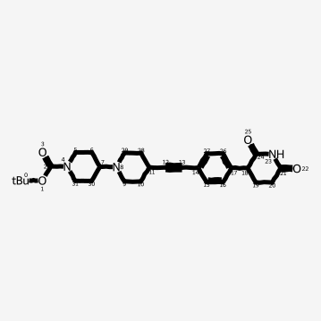 CC(C)(C)OC(=O)N1CCC(N2CCC(C#Cc3ccc(C4CCC(=O)NC4=O)cc3)CC2)CC1